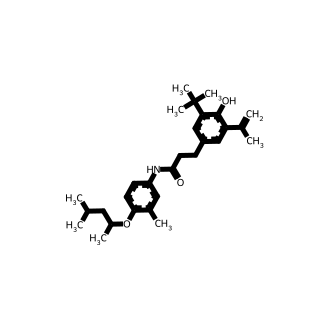 C=C(C)c1cc(CCC(=O)Nc2ccc(OC(C)CC(C)C)c(C)c2)cc(C(C)(C)C)c1O